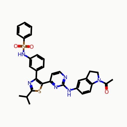 CC(=O)N1CCc2cc(Nc3nccc(-c4sc(C(C)C)nc4-c4cccc(NS(=O)(=O)c5ccccc5)c4)n3)ccc21